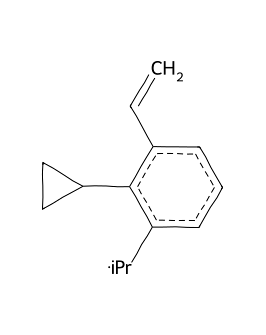 C=Cc1cccc([C](C)C)c1C1CC1